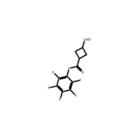 O=CC1CC(C(=O)Oc2c(F)c(F)c(F)c(F)c2F)C1